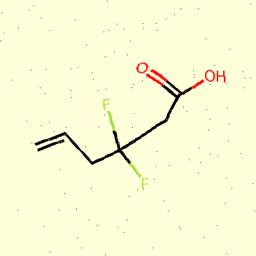 C=CCC(F)(F)CC(=O)O